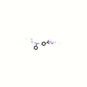 CC(C)(C)OC(=O)NCC(C(=O)Nc1ccc(-c2cnn(C(=O)OC(C)(C)C)c2)cc1)c1ccccc1